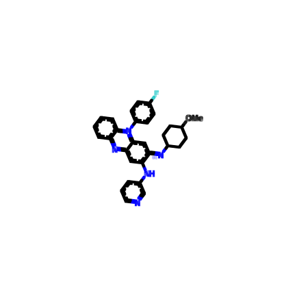 COC1CCC(/N=c2\cc3n(-c4ccc(F)cc4)c4ccccc4nc-3cc2Nc2cccnc2)CC1